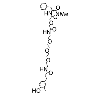 CNC(=O)[C@H](Cc1ccccc1)NC(=O)COCC(=O)NCCOCCOCCOCCNC(=O)CCc1ccc(O)c(C)c1